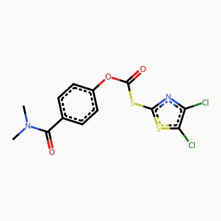 CN(C)C(=O)c1ccc(OC(=O)Sc2nc(Cl)c(Cl)s2)cc1